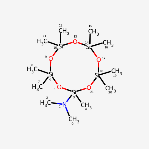 CN(C)[Si]1(C)O[Si](C)(C)O[Si](C)(C)O[Si](C)(C)O[Si](C)(C)O1